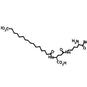 BC(=O)[C@@H](N)CCCCNC(=O)CC[C@H](NC(=O)CCCCCCCCCCCCCCC(=O)O)C(=O)O